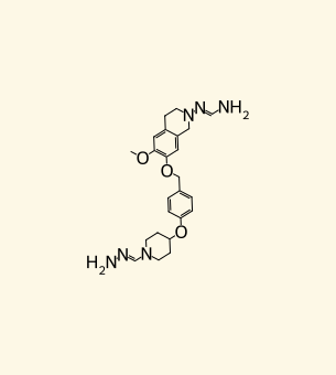 COc1cc2c(cc1OCc1ccc(OC3CCN(C=NN)CC3)cc1)CN(N=CN)CC2